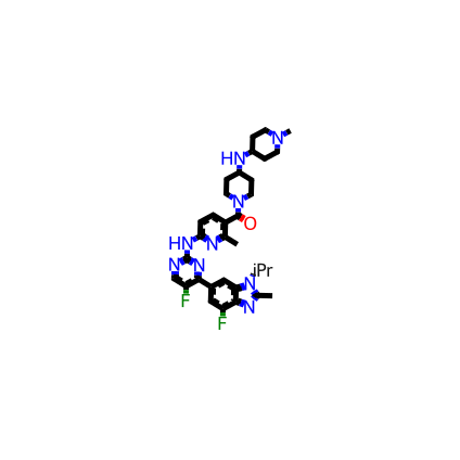 Cc1nc(Nc2ncc(F)c(-c3cc(F)c4nc(C)n(C(C)C)c4c3)n2)ccc1C(=O)N1CCC(NC2CCN(C)CC2)CC1